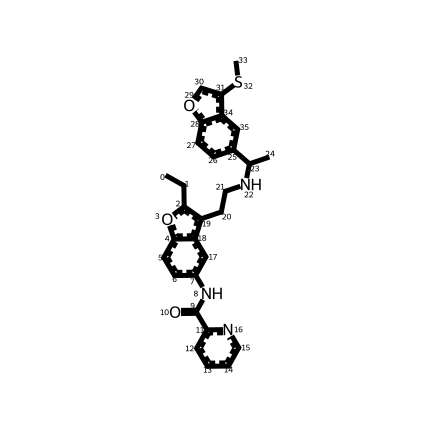 CCc1oc2ccc(NC(=O)c3ccccn3)cc2c1CCNC(C)c1ccc2occ(SC)c2c1